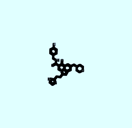 O=C(NCc1ccc(Cl)cc1)c1cn2c(CCc3ncc[nH]3)cc3cc(CN4CCOCC4)cc(c1=O)c32